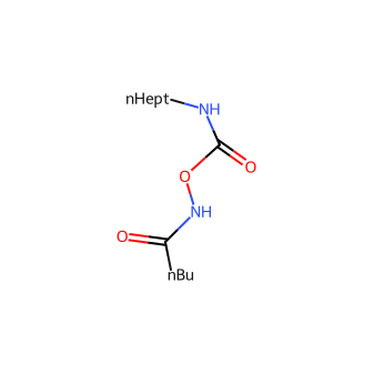 CCCCCCCNC(=O)ONC(=O)CCCC